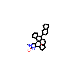 Cn1cc(-c2c3ccccc3c(-c3ccc4ccccc4c3)c3ccccc23)c(-c2ccccc2)nc1=O